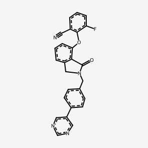 N#Cc1cccc(F)c1Oc1cccc2c1C(=O)N(Cc1ccc(-c3cncnc3)cc1)C2